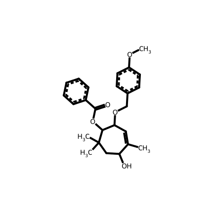 COc1ccc(COC2C=C(C)C(O)CC(C)(C)C2OC(=O)c2ccccc2)cc1